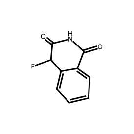 O=C1NC(=O)C(F)c2ccccc21